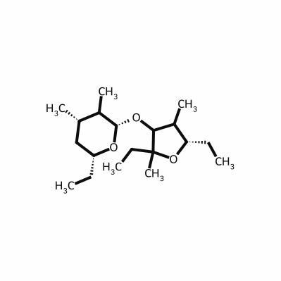 CC[C@@H]1C[C@H](C)C(C)[C@H](OC2C(C)[C@H](CC)OC2(C)CC)O1